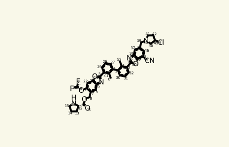 Cc1c(-c2nc3cc(COC(=O)[C@@H]4CCCN4)c(OC(F)F)cc3o2)cccc1-c1cccc(-c2nc3cc(CN4CCC(Cl)C4)cc(C#N)c3o2)c1C